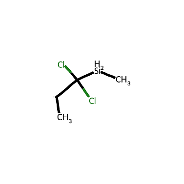 C[CH]C(Cl)(Cl)[SiH2]C